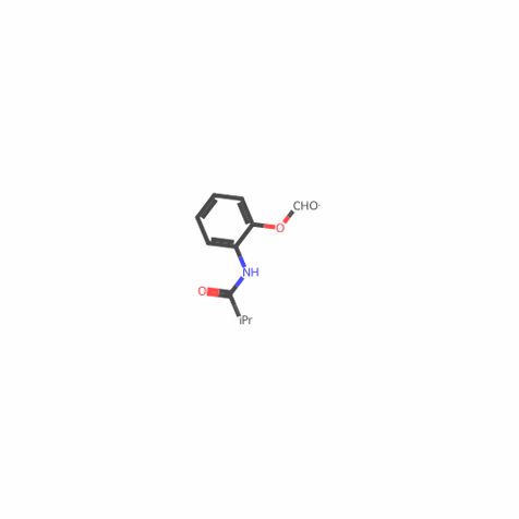 CC(C)C(=O)Nc1ccccc1O[C]=O